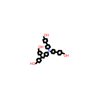 OCc1ccc(C(=Cc2ccc(N(c3ccc(-c4ccc(CO)cc4)cc3)c3ccc(-c4ccc(CO)cc4)cc3)cc2)c2ccc(CO)cc2)cc1